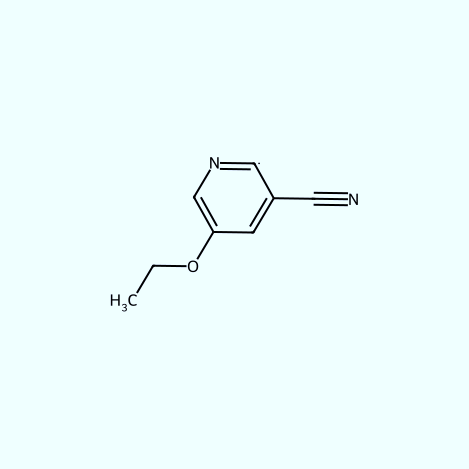 CCOc1cn[c]c(C#N)c1